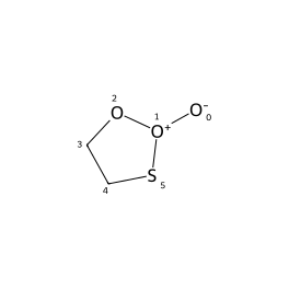 [O-][O+]1OCCS1